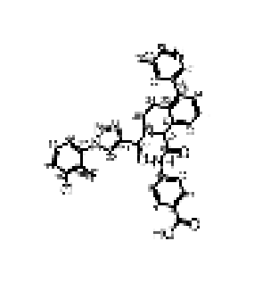 O=C(O)c1ccc(NC(=O)C2c3cccc(-c4cncc(F)c4)c3CCN2C(=O)c2cn(-c3cccc(Cl)c3F)nn2)cc1